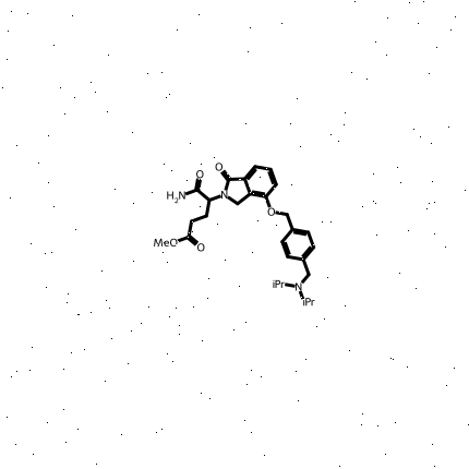 COC(=O)CCC(C(N)=O)N1Cc2c(OCc3ccc(CN(C(C)C)C(C)C)cc3)cccc2C1=O